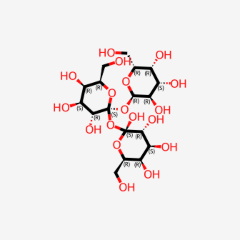 OC[C@H]1O[C@H](O[C@@]2(O[C@@]3(O)O[C@H](CO)[C@H](O)[C@H](O)[C@H]3O)O[C@H](CO)[C@H](O)[C@H](O)[C@H]2O)[C@H](O)[C@@H](O)[C@H]1O